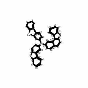 c1ccc2c(c1)sc1cc(N(c3ccc4sc5ccccc5c4c3)c3ccc4ccc5sc6ccccc6c5c4c3)ccc12